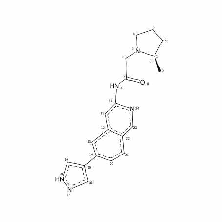 C[C@@H]1CCCN1CC(=O)Nc1cc2cc(-c3cn[nH]c3)ccc2cn1